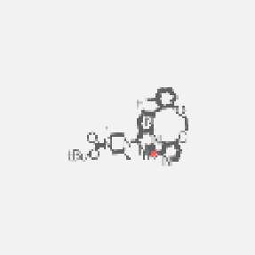 Cc1cccc2c1-c1nc3c(cc1F)c(N1C[C@@H](C)N(C(=O)OC(C)(C)C)C[C@@H]1C)nc(=O)n3-c1c(ccnc1C(C)C)OCCO2